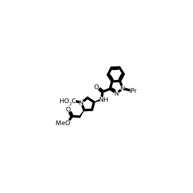 COC(=O)C[C@@H]1C[C@H](NC(=O)c2nn(C(C)C)c3ccccc23)CN1C(=O)O